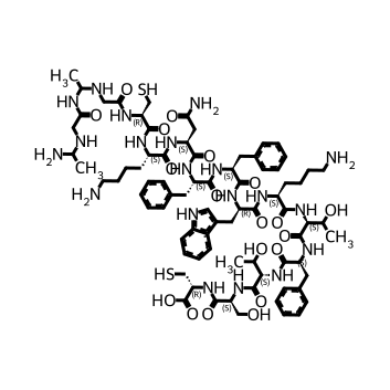 CC(N)NCC(=O)NC(C)NCC(=O)N[C@@H](CS)C(=O)N[C@@H](CCCCN)C(=O)N[C@@H](CC(N)=O)C(=O)N[C@@H](Cc1ccccc1)C(=O)N[C@@H](Cc1ccccc1)C(=O)N[C@H](Cc1c[nH]c2ccccc12)C(=O)N[C@@H](CCCCN)C(=O)N[C@H](C(=O)N[C@@H](Cc1ccccc1)C(=O)N[C@H](C(=O)N[C@@H](CO)C(=O)N[C@@H](CS)C(=O)O)C(C)O)C(C)O